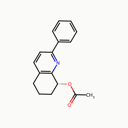 CC(=O)O[C@@H]1CCCc2ccc(-c3ccccc3)nc21